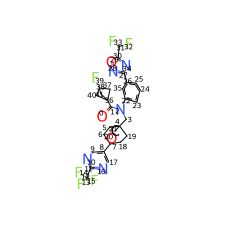 O=C(N(CC12CCC(c3cnc(C(F)(F)F)nc3)(CC1)OC2)c1cccc(-c2noc(C(F)F)n2)c1)C12CC(F)(C1)C2